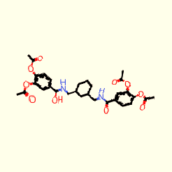 CC(=O)Oc1ccc(C(=O)NCC2CCCC(CN[C@@H](O)c3ccc(OC(C)=O)c(OC(C)=O)c3)C2)cc1OC(C)=O